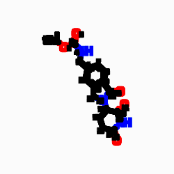 CC(C)(C)OC(=O)NCc1ccc2c(c1)CN(C1CCC(=O)NC1=O)C2=O